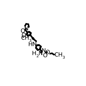 CCCCOC(=O)N=C(N)c1ccc(NCC#Cc2ccc(C(=O)N3CCCC3)c(OC)c2)cc1